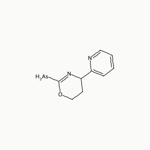 [AsH2]C1=NC(c2ccccn2)CCO1